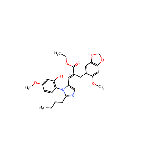 CCCCc1ncc(/C=C(\Cc2cc3c(cc2OC)OCO3)C(=O)OCC)n1-c1ccc(OC)cc1O